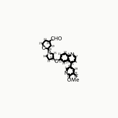 COc1ncc(-c2ccnc3ccc(O[C@H]4CCN(C5CC(C=O)CCO5)C4)cc23)cc1F